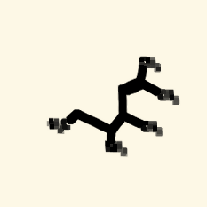 [CH2]CC(N)C(C)C=C(C)C